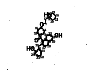 O=C(c1ccc(OCCC2CCCCN2)cc1)c1c(Cc2ccccc2O)ccc2cc(O)ccc12